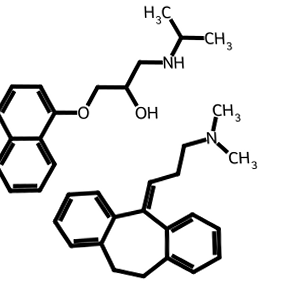 CC(C)NCC(O)COc1cccc2ccccc12.CN(C)CCC=C1c2ccccc2CCc2ccccc21